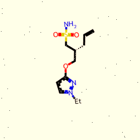 C=CC[C@H](COc1ccn(CC)n1)CS(N)(=O)=O